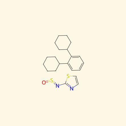 O=S=Nc1nccs1.c1ccc(C2CCCCC2)c(C2CCCCC2)c1